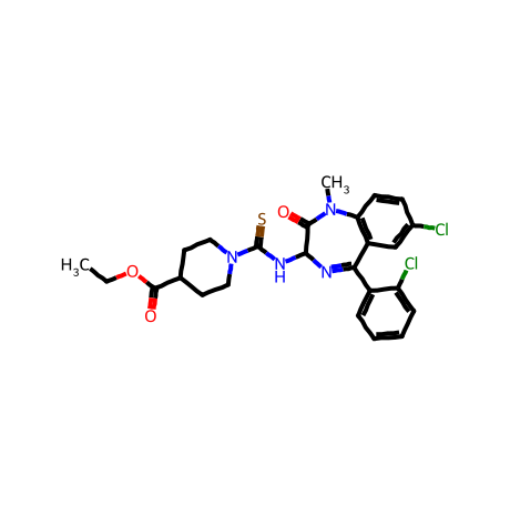 CCOC(=O)C1CCN(C(=S)NC2N=C(c3ccccc3Cl)c3cc(Cl)ccc3N(C)C2=O)CC1